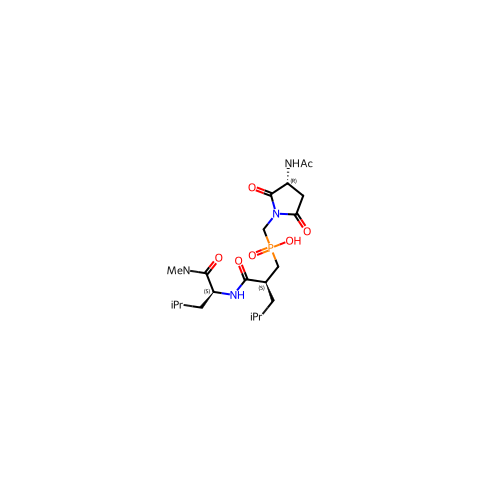 CNC(=O)[C@H](CC(C)C)NC(=O)[C@H](CC(C)C)CP(=O)(O)CN1C(=O)C[C@@H](NC(C)=O)C1=O